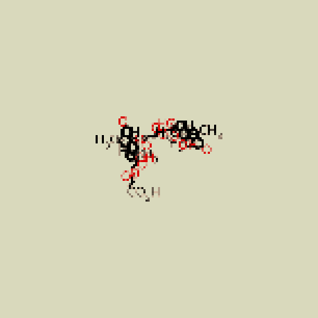 C[C@@H]1C[C@H]2[C@@H]([C@H](OC(=O)CCC(=O)OCC(=O)[C@@]3(O)CC[C@H]4[C@@H]5C[C@H](C)C6=CC(=O)C=C[C@]6(C)[C@H]5[C@@H](O)C[C@@]43C)C[C@]3(C)[C@@H]2CC[C@@]3(O)C(=O)COC(=O)CCC(=O)O)[C@]2(C)C=CC(=O)C=C12